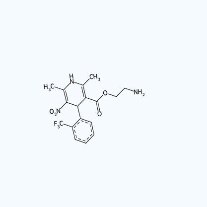 CC1=C(C(=O)OCCN)C(c2ccccc2C(F)(F)F)C([N+](=O)[O-])=C(C)N1